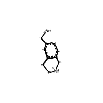 [NH]Cc1ccc2c(c1)CCNC2